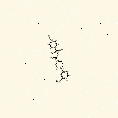 CC(C)COc1cc(N2CCN(C(=O)CS(=O)(=O)c3ccc(F)cc3)CC2)ncn1